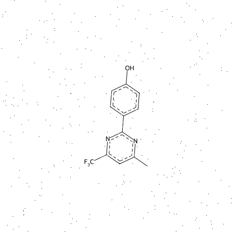 Cc1cc(C(F)(F)F)nc(-c2ccc(O)cc2)n1